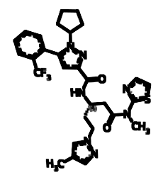 Cc1cnn(CC[C@@H](CC(=O)N(C)c2nccs2)NC(=O)c2cc(-c3ccccc3C(F)(F)F)n(C3CCCC3)n2)c1